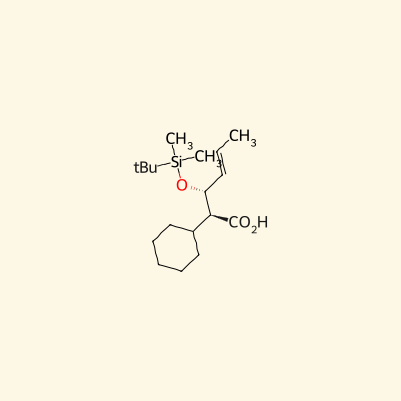 C/C=C/[C@@H](O[Si](C)(C)C(C)(C)C)[C@@H](C(=O)O)C1CCCCC1